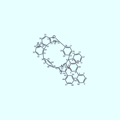 c1ccc(-c2ccc(C3(c4ccccc4)c4ccc(cc4)-c4nc5c(ccc6oc7cccc(c7c65)-c5ccc(cc5)-c5nc(-c6ccccc6)nc3n5)o4)cc2)cc1